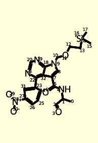 CC(C=O)NC(=O)c1cn(COCC[Si](C)(C)C)c2ncnc(-c3cccc([N+](=O)[O-])c3)c12